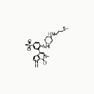 CSCCCN[C@H]1CC[C@H](Nc2ccc(S(C)(=O)=O)cc2-c2cn(C)c(=O)c3[nH]ccc23)CC1